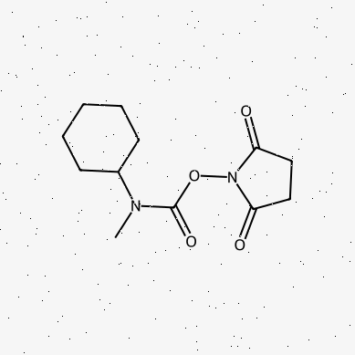 CN(C(=O)ON1C(=O)CCC1=O)C1CCCCC1